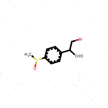 C[S+]([O-])c1ccc(C(C=O)CBr)cc1